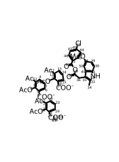 CC(=O)Oc1c(C(C)=O)cccc1C(=O)[O-].CC(=O)Oc1c(C(C)=O)cccc1C(=O)[O-].CC(=O)Oc1c(C(C)=O)cccc1C(=O)[O-].COc1ccc2[nH]c(C)c(CC(=O)OC(=O)c3ccc(Cl)cc3)c2c1.[Al+3]